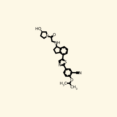 CC(C)Oc1ccc(-c2ncc(-c3cccc4c3CCC4NCC(=O)N3CC[C@@H](O)C3)s2)cc1C#N